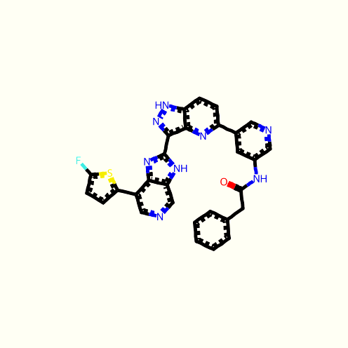 O=C(Cc1ccccc1)Nc1cncc(-c2ccc3[nH]nc(-c4nc5c(-c6ccc(F)s6)cncc5[nH]4)c3n2)c1